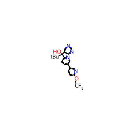 CC(C)(C)C(O)(c1cncnc1)c1ccc(-c2ccc(OCC(F)(F)F)nc2)cn1